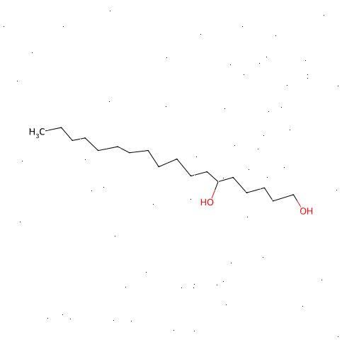 CCCCCCCCCCCCC(O)CCCCCO